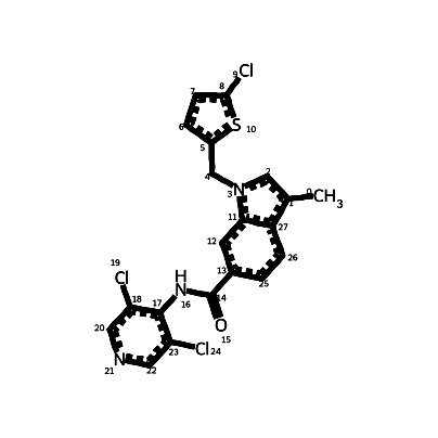 Cc1cn(Cc2ccc(Cl)s2)c2cc(C(=O)Nc3c(Cl)cncc3Cl)ccc12